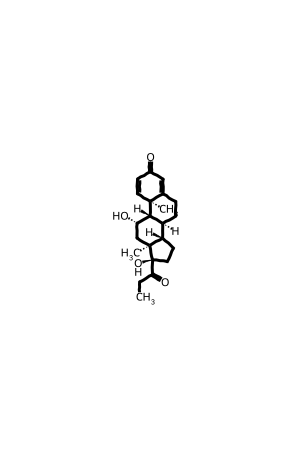 CCC(=O)[C@@]1(O)CC[C@H]2[C@@H]3CCC4=CC(=O)C=C[C@]4(C)[C@H]3[C@@H](O)C[C@@]21C